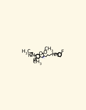 CCOC(=O)/C(=C\c1ccc(-n2cnc(C)c2)c(OC)c1)CCCCNCc1cccc(F)c1